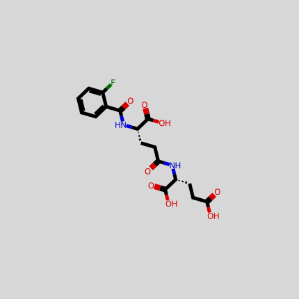 O=C(O)CC[C@@H](NC(=O)CC[C@H](NC(=O)c1ccccc1F)C(=O)O)C(=O)O